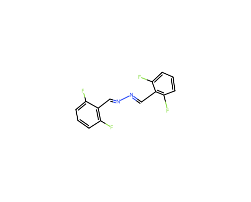 Fc1cccc(F)c1C=NN=Cc1c(F)cccc1F